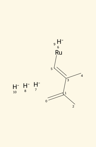 C=C(C)C(C)=[CH][Ru].[H-].[H-].[H-].[H-]